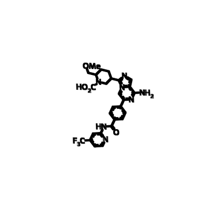 COCC1CCC(c2ncc3c(N)nc(-c4ccc(C(=O)Nc5cc(C(F)(F)F)ccn5)cc4)cn23)CN1C(=O)O